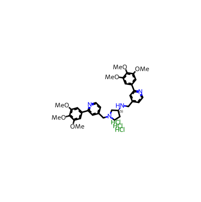 COc1cc(-c2cc(CN[C@H]3CCN(Cc4ccnc(-c5cc(OC)c(OC)c(OC)c5)c4)C3)ccn2)cc(OC)c1OC.Cl.Cl.Cl